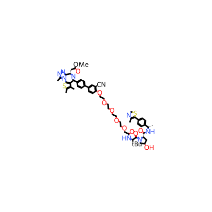 COC(=O)C[C@@H]1N=C(c2ccc(-c3ccc(OCCOCCOCCOCCOCC(=O)NC(C(=O)N4C[C@H](O)C[C@H]4C(=O)N[C@@H](C)c4ccc(-c5scnc5C)cc4)C(C)(C)C)c(C#N)c3)cc2)c2c(sc(C)c2C)-n2c(C)nnc21